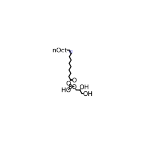 CCCCCCCC/C=C\CCCCCCCC(=O)OB(O)OCC(O)CO